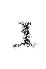 CCCCCCCCCCCCc1cc(C(=O)Nc2ccn([C@@H]3O[C@H](CO)[C@@H](O)C3(F)F)c(=O)n2)cnc1C(=O)O